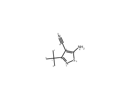 CC(C)(C)c1nsc(N)c1C#N